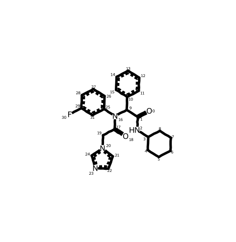 O=C(NC1CCCCC1)C(c1ccccc1)N(C(=O)Cn1ccnc1)c1cccc(F)c1